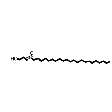 CCCCCCCCCCCCCCCCCCCCCC[NH+]([O-])CCCO